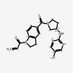 C=CC(=O)N1CCc2cc(C(=O)N3CC[C@@H](Nc4ncc(Cl)cn4)C3)ccc21